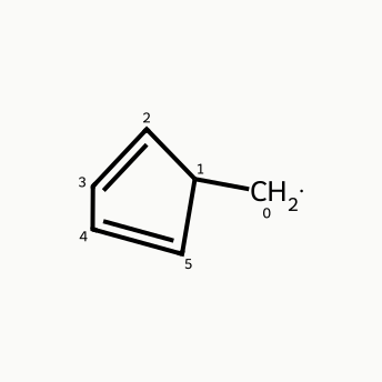 [CH2]C1C=CC=C1